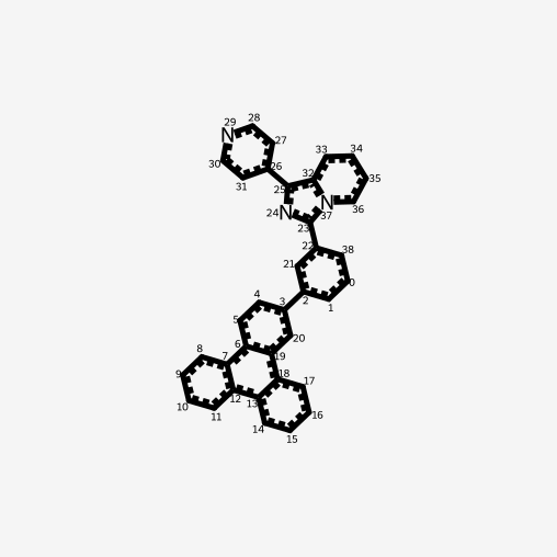 c1cc(-c2ccc3c4ccccc4c4ccccc4c3c2)cc(-c2nc(-c3ccncc3)c3ccccn23)c1